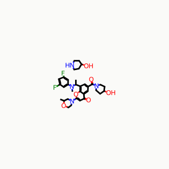 CC1CN(c2cc(=O)c3cc(C(=O)N4CCC(O)CC4)cc(C(C)N(C)c4cc(F)cc(F)c4)c3o2)CCO1.OC1CCNCC1